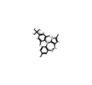 Cc1ccc2c(c1)N=Nc1cc(C)oc1N2c1c(C)cc(C(C)(C)C)cc1C